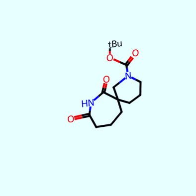 CC(C)(C)OC(=O)N1CCCC2(CCCC(=O)NC2=O)C1